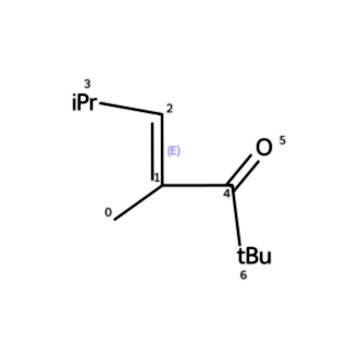 C/C(=C\C(C)C)C(=O)C(C)(C)C